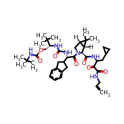 C=CCNC(=O)C(=O)C(CC1CC1)NC(=O)[C@@H]1[C@@H]2[C@H](CN1C(=O)[C@@H](NC(=O)N[C@H](COC(=O)NC(C)(C)C)C(C)(C)C)C1Cc3ccccc3C1)C2(C)C